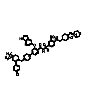 CC1(C)CCC(CN2CCN(c3ccc(C(=O)NS(=O)(=O)c4ccc(NCC5CCC(N=[SH]6(O)CCOCC6)CC5)c([N+](=O)[O-])c4)c(Oc4cnc5[nH]ccc5c4)c3)CC2)=C(c2ccc(Cl)cc2)C1